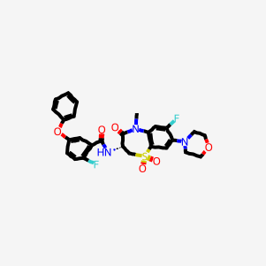 CN1C(=O)[C@@H](NC(=O)c2cc(Oc3ccccc3)ccc2F)CS(=O)(=O)c2cc(N3CCOCC3)c(F)cc21